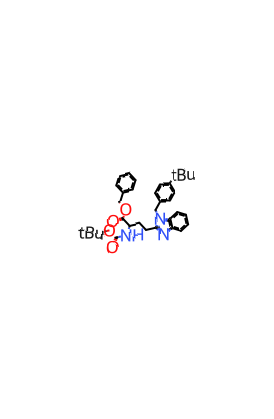 CC(C)(C)OC(=O)NC(CCc1nc2ccccc2n1Cc1ccc(C(C)(C)C)cc1)C(=O)OCc1ccccc1